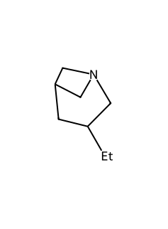 CCC1CC2CN(C1)C2